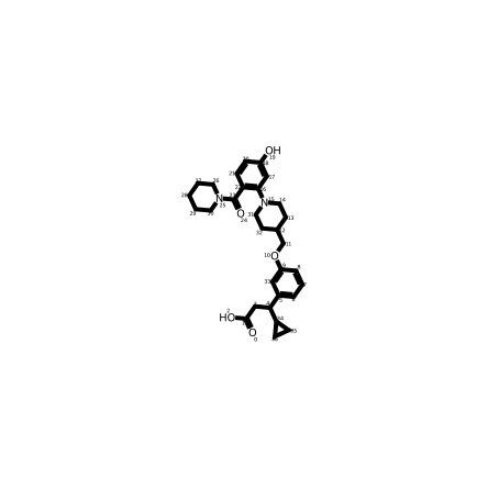 O=C(O)CC(c1cccc(OCC2CCN(c3cc(O)ccc3C(=O)N3CCCCC3)CC2)c1)C1CC1